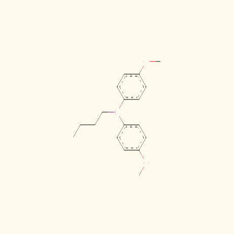 CCCCP(c1ccc(OC)cc1)c1ccc(OC)cc1